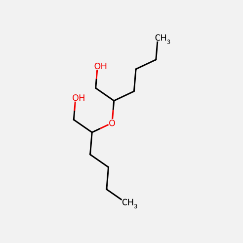 CCCCC(CO)OC(CO)CCCC